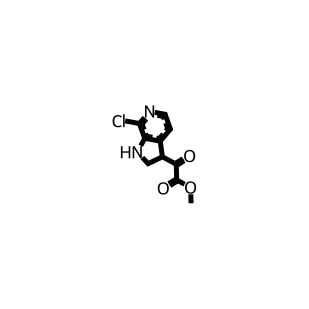 COC(=O)C(=O)C1CNc2c1ccnc2Cl